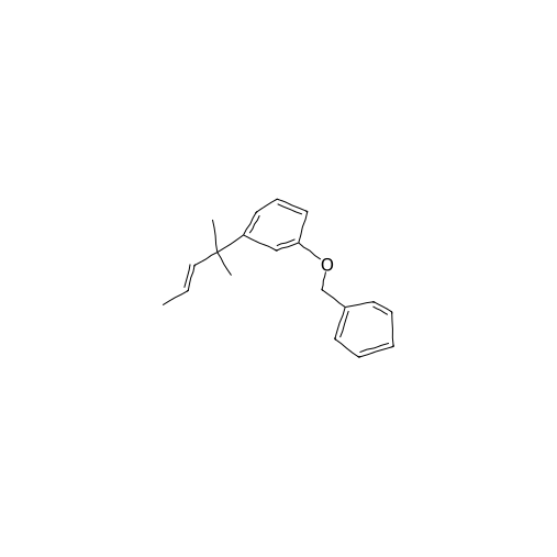 C/C=C/C(C)(C)c1cccc(OCc2ccccc2)c1